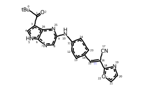 CC(C)(C)C(=O)c1c[nH]c2ncc(Nc3ccc(/C=C(\C#N)c4ncco4)cc3)nc12